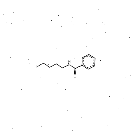 O=C(NCCCCI)c1ccccc1